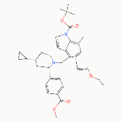 CCO/C=C/c1cc(C)c2c(ccn2C(=O)OC(C)(C)C)c1CN1CC[C@@H](C2CC2)C[C@H]1c1ccc(C(=O)OC)cc1